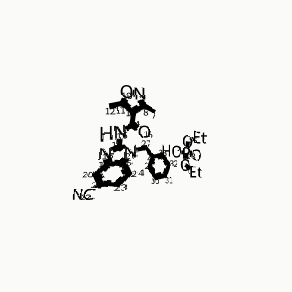 CCOP(=O)(O)OCC.Cc1noc(C)c1C(=O)Nc1nc2cc(C#N)ccc2n1Cc1ccccc1